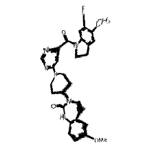 COc1ccc2c(c1)CCN(C1CCN(c3cc(C(=O)N4CCc5cc(C)c(F)cc54)ncn3)CC1)C(=O)N2